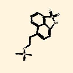 C[Si](C)(C)OCCc1ccc2c3c(cccc13)S(=O)(=O)N2